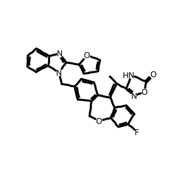 CC(=C1c2ccc(Cn3c(-c4ccco4)nc4ccccc43)cc2COc2cc(F)ccc21)c1noc(=O)[nH]1